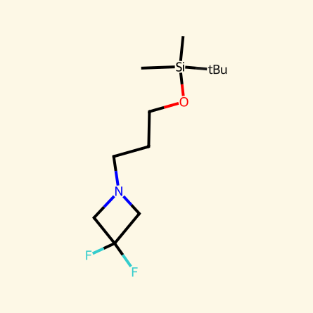 CC(C)(C)[Si](C)(C)OCCCN1CC(F)(F)C1